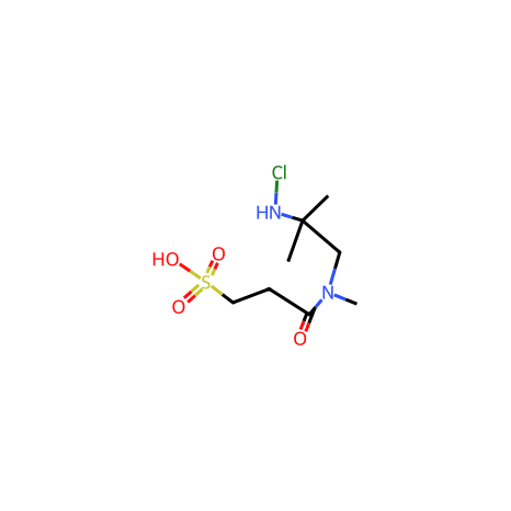 CN(CC(C)(C)NCl)C(=O)CCS(=O)(=O)O